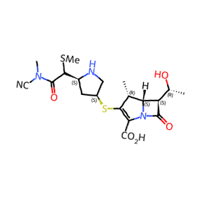 CSC(C(=O)N(C)C#N)[C@@H]1C[C@H](SC2=C(C(=O)O)N3C(=O)[C@H]([C@@H](C)O)[C@H]3[C@H]2C)CN1